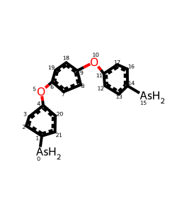 [AsH2]c1ccc(Oc2ccc(Oc3ccc([AsH2])cc3)cc2)cc1